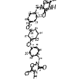 O=c1[nH]c(=O)n(Cc2ccc(O[C@@H]3CCC[C@H](Oc4ccc(Cn5oc(=O)[nH]c5=O)cc4)C3)cc2)o1